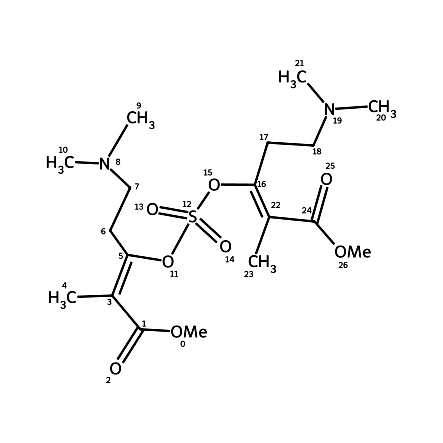 COC(=O)C(C)=C(CCN(C)C)OS(=O)(=O)OC(CCN(C)C)=C(C)C(=O)OC